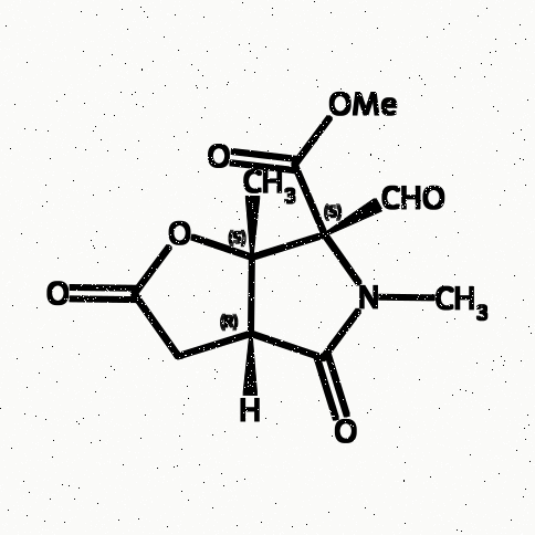 COC(=O)[C@]1(C=O)N(C)C(=O)[C@@H]2CC(=O)O[C@@]21C